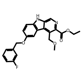 CCOC(=O)c1ncc2[nH]c3ccc(OCc4cccc(F)c4)cc3c2c1COC